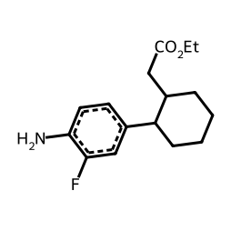 CCOC(=O)CC1CCCCC1c1ccc(N)c(F)c1